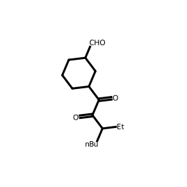 CCCCC(CC)C(=O)C(=O)C1CCCC(C=O)C1